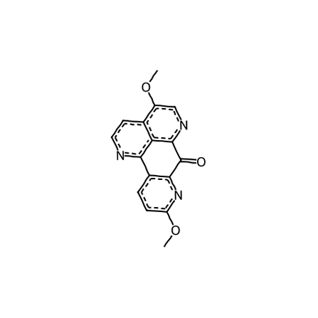 COc1ccc2c(n1)C(=O)c1ncc(OC)c3ccnc-2c13